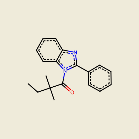 CCC(C)(C)C(=O)n1c(-c2ccccc2)nc2ccccc21